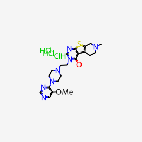 COc1cncnc1N1CCN(CCn2cnc3sc4c(c3c2=O)CCN(C)C4)CC1.Cl.Cl.Cl